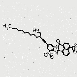 B=CC(C#Cc1cc([N+](=O)[O-])c2nc3c4cccc5c(B(O)O)ccc(c(=O)n3c2c1)c54)CCCCCCCCCC